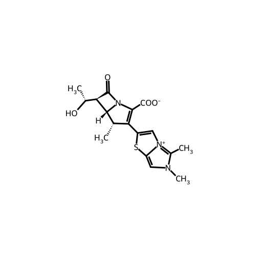 Cc1n(C)cc2sc(C3=C(C(=O)[O-])N4C(=O)[C@H]([C@@H](C)O)[C@H]4[C@H]3C)c[n+]12